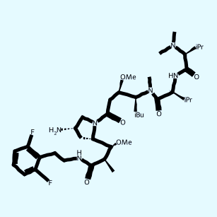 CCC(C)[C@@H]([C@@H](CC(=O)N1C[C@@H](N)C[C@H]1[C@H](OC)[C@@H](C)C(=O)NCCc1c(F)cccc1F)OC)N(C)C(=O)[C@@H](NC(=O)[C@H](C(C)C)N(C)C)C(C)C